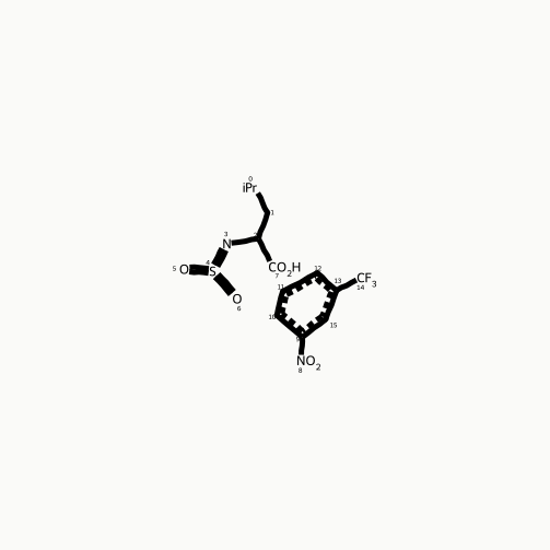 CC(C)CC(N=S(=O)=O)C(=O)O.O=[N+]([O-])c1cccc(C(F)(F)F)c1